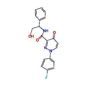 O=C(NC(CO)c1ccccc1)c1nn(-c2ccc(F)cc2)ccc1=O